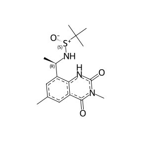 Cc1cc([C@@H](C)N[S@+]([O-])C(C)(C)C)c2[nH]c(=O)n(C)c(=O)c2c1